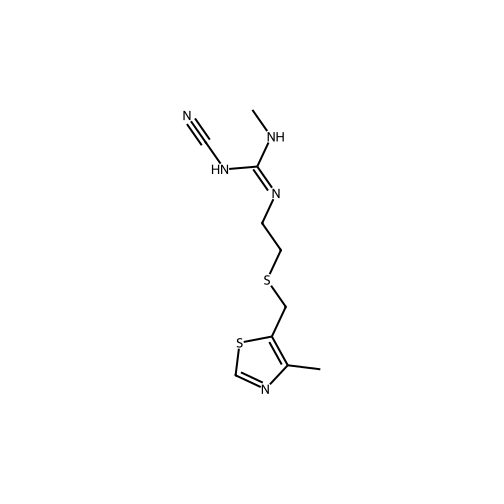 CN/C(=N/CCSCc1scnc1C)NC#N